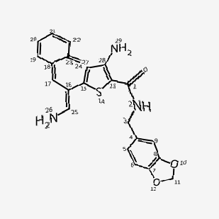 C=C(NCc1ccc2c(c1)OCO2)c1sc(C(/C=c2/ccccc2=C)=C/N)cc1N